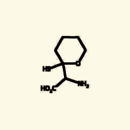 NC(C(=O)O)C1(S)CCCCO1